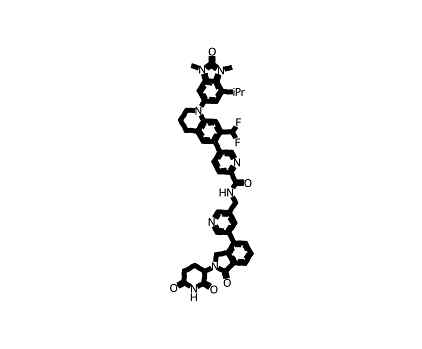 CC(C)c1cc(N2CCCc3cc(-c4ccc(C(=O)NCc5cncc(-c6cccc7c6CN(C6CCC(=O)NC6=O)C7=O)c5)nc4)c(C(F)F)cc32)cc2c1n(C)c(=O)n2C